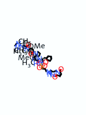 CC[C@H](C)[C@@H]([C@@H](CC(=O)N1CCC[C@H]1[C@H](OC)[C@@H](C)C(=O)N[C@@H](Cc1ccccc1)C(=O)NS(=O)(=O)CCCn1cc(CN2C(=O)C=CC2=O)nn1)OC)N(C)C(=O)[C@@H](N=C1N(C)CCN1C)C(C)C